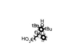 CC(C)(C)c1cc(N(C(=O)CCCC(=O)O)c2ccccc2)cc(C(C)(C)C)c1O